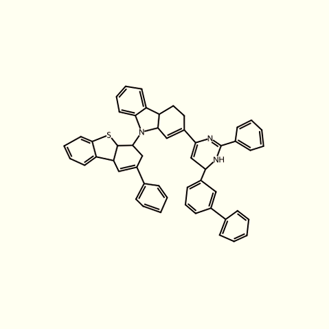 C1=C(C2=CC(c3cccc(-c4ccccc4)c3)NC(c3ccccc3)=N2)CCC2c3ccccc3N(C3CC(c4ccccc4)=CC4c5ccccc5SC43)C12